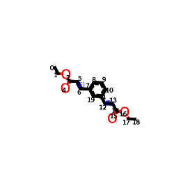 CCOC(=O)/C=C/c1cccc(/C=C/C(=O)OCC)c1